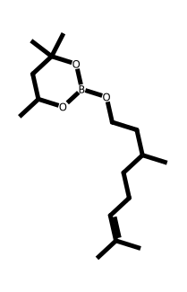 CC(C)=CCCC(C)CCOB1OC(C)CC(C)(C)O1